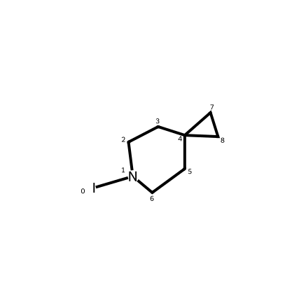 IN1CCC2(CC1)CC2